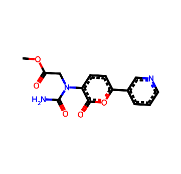 COC(=O)CN(C(N)=O)c1ccc(-c2cccnc2)oc1=O